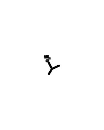 CC(C)[O].[SiH4]